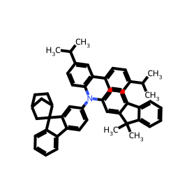 CC(C)c1ccc(-c2cc(C(C)C)ccc2N(c2ccc3c(c2)C(C)(C)c2ccccc2-3)c2ccc3c(c2)C2(CC4CCC2C4)c2ccccc2-3)cc1